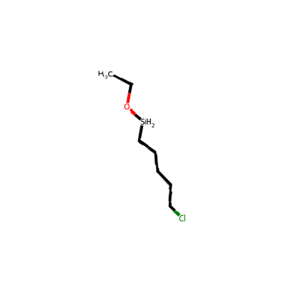 CCO[SiH2]CCCCCCl